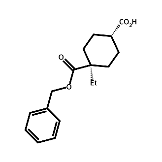 CC[C@]1(C(=O)OCc2ccccc2)CC[C@H](C(=O)O)CC1